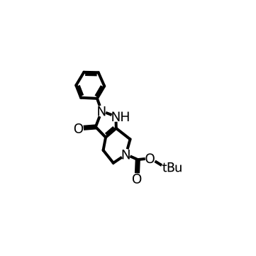 CC(C)(C)OC(=O)N1CCc2c([nH]n(-c3ccccc3)c2=O)C1